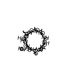 C/C=C/C[C@@H](C)[C@@H](O)[C@H]1C(=O)N[C@@H](CC)C(=O)N(C)[C@H](SCCN2CCN(C)CC2)C(=O)N(C)[C@@H](CC(C)(C)OC)C(=O)N[C@@H](C(C)C)C(=O)N(C)[C@@H](CC(C)C)C(=O)N[C@@H](C)C(=O)N[C@H](C)C(=O)N(C)[C@@H](CC(C)C)C(=O)N(C)[C@@H](CC(C)C)C(=O)N(C)[C@@H](C(C)C)C(=O)N1C